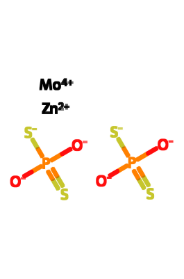 [Mo+4].[O-]P([O-])(=S)[S-].[O-]P([O-])(=S)[S-].[Zn+2]